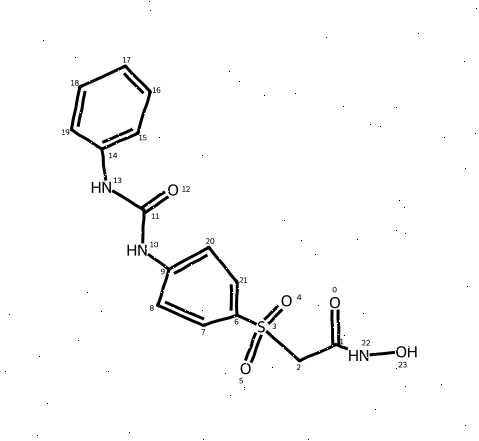 O=C(CS(=O)(=O)c1ccc(NC(=O)Nc2ccccc2)cc1)NO